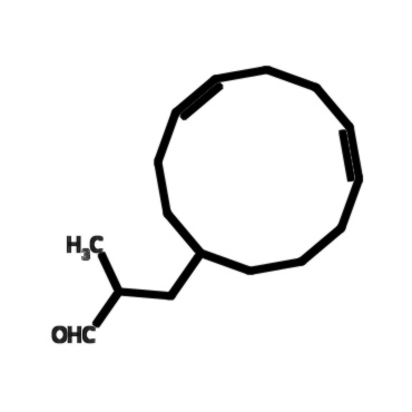 CC(C=O)CC1CC/C=C\CC/C=C\CCC1